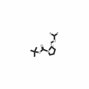 CC(C)(C)OC(=O)N1CCC[C@H]1COC(F)F